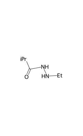 CCNNC(=O)C(C)C